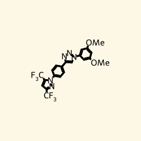 COc1cc(OC)cc(-n2cc(-c3ccc(-n4nc(C(F)(F)F)cc4C(F)(F)F)cc3)nn2)c1